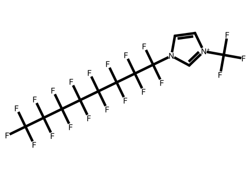 FC(F)(F)[n+]1ccn(C(F)(F)C(F)(F)C(F)(F)C(F)(F)C(F)(F)C(F)(F)C(F)(F)C(F)(F)F)c1